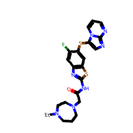 CCN1CCCN(CC(=O)Nc2nc3cc(F)c(Sc4cnc5ncccn45)cc3s2)CC1